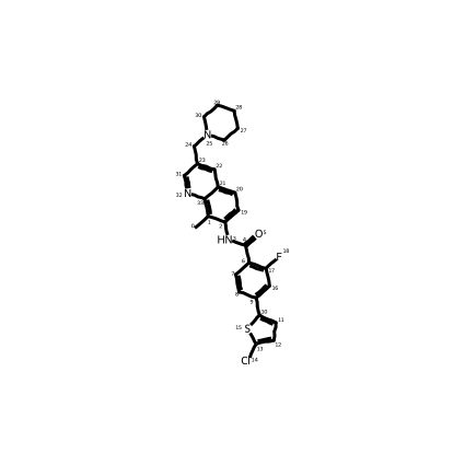 Cc1c(NC(=O)c2ccc(-c3ccc(Cl)s3)cc2F)ccc2cc(CN3CCCCC3)cnc12